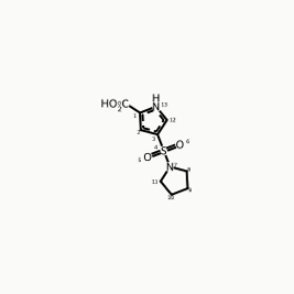 O=C(O)c1cc(S(=O)(=O)N2CCCC2)c[nH]1